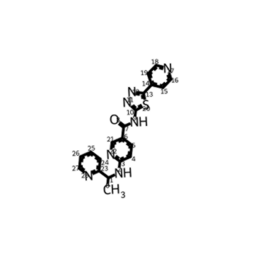 CC(Nc1ccc(C(=O)Nc2nnc(-c3ccncc3)s2)cn1)c1ccccn1